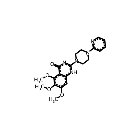 COc1cc2[nH]c(N3CCN(c4ccccn4)CC3)nc(=O)c2c(OC)c1OC